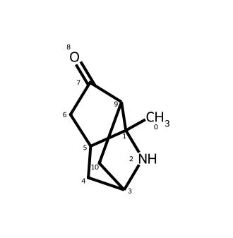 CC12NC3CC1CC(=O)C2C3